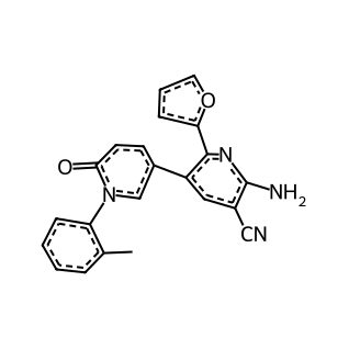 Cc1ccccc1-n1cc(-c2cc(C#N)c(N)nc2-c2ccco2)ccc1=O